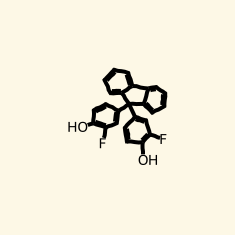 Oc1ccc(C2(c3ccc(O)c(F)c3)c3ccccc3-c3ccccc32)cc1F